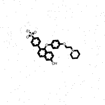 CCS(=O)(=O)c1ccc(-c2ccc3cc(O)ccc3c2Oc2ccc(OCCN3CCCCC3)cc2)cc1